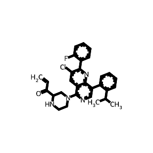 C=CC(=O)C1CN(c2ncc(-c3ccccc3C(C)C)c3nc(-c4ccccc4F)c(Cl)cc23)CCN1